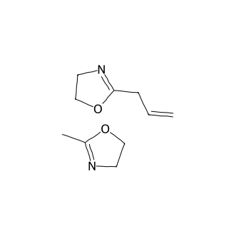 C=CCC1=NCCO1.CC1=NCCO1